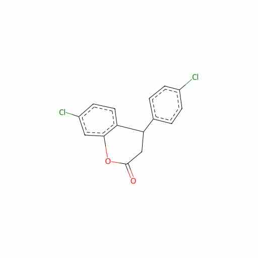 O=C1CC(c2ccc(Cl)cc2)c2ccc(Cl)cc2O1